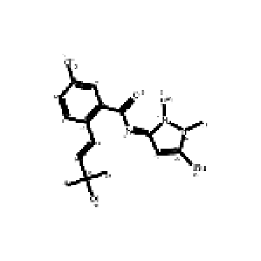 CCCn1c(=NC(=O)c2cc(C(F)(F)F)ccc2C=CC(C)(C)O)cc(C(C)(C)C)n1C